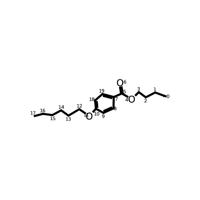 [CH2]CCCOC(=O)c1ccc(OCCCCCC)cc1